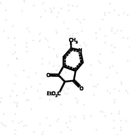 CCOC(=O)C1C(=O)c2cnc(C)cc2C1=O